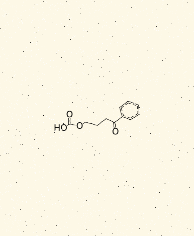 O=C(O)OCCCC(=O)c1ccccc1